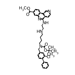 COC(=O)c1ccc2c(c1)nc(NCCNCCCCN(Cc1ccc(-c3ccccc3)c(Cl)c1)C(=O)OC(C)(C)C)c1ccncc12